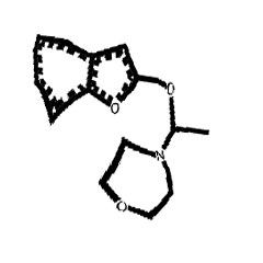 CC(Oc1cc2ccccc2o1)N1CCOCC1